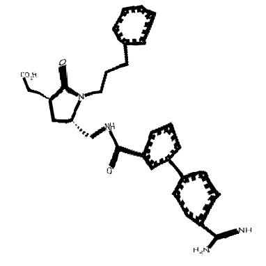 N=C(N)c1ccc(-c2cccc(C(=O)NC[C@@H]3C[C@@H](CC(=O)O)C(=O)N3CCCc3ccccc3)c2)cc1